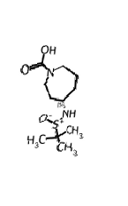 CC(C)(C)[S+]([O-])N[C@H]1CCCN(C(=O)O)CC1